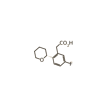 O=C(O)Cc1cc(F)ccc1[C@H]1CCCCO1